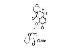 COC(=O)CC1(OC(=O)CCOc2c3n(ccc2=O)N[C@@H]2COCCN2C3=O)CCCC1